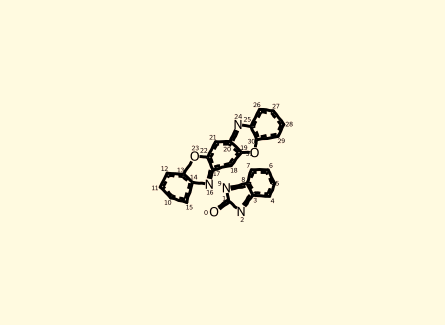 O=C1N=c2ccccc2=N1.c1ccc2c(c1)N=c1cc3c(cc1O2)=Nc1ccccc1O3